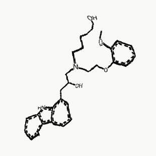 COc1ccccc1OCCN(CCCCO)CC(O)Cc1cccc2c1[nH]c1ccccc12